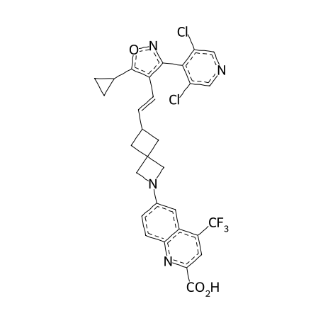 O=C(O)c1cc(C(F)(F)F)c2cc(N3CC4(CC(C=Cc5c(-c6c(Cl)cncc6Cl)noc5C5CC5)C4)C3)ccc2n1